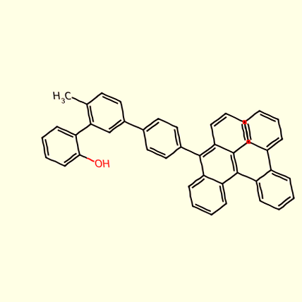 Cc1ccc(-c2ccc(-c3c4ccccc4c(-c4ccccc4-c4ccccc4)c4ccccc34)cc2)cc1-c1ccccc1O